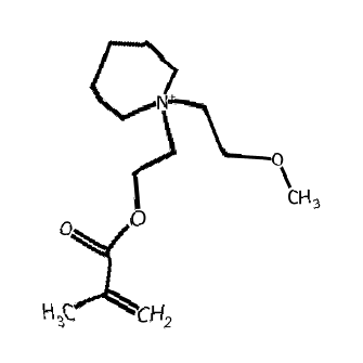 C=C(C)C(=O)OCC[N+]1(CCOC)CCCCC1